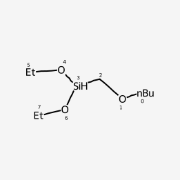 CCCCOC[SiH](OCC)OCC